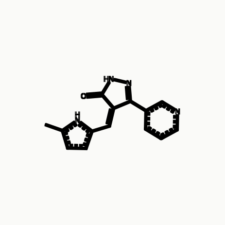 Cc1ccc(C=C2C(=O)NN=C2c2cccnc2)[nH]1